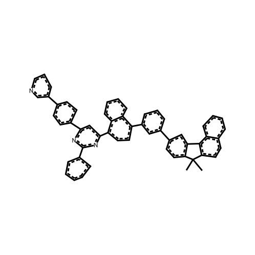 CC1(C)c2ccc(-c3cccc(-c4ccc(-c5cc(-c6ccc(-c7cccnc7)cc6)nc(-c6ccccc6)n5)c5ccccc45)c3)cc2-c2c1ccc1ccccc21